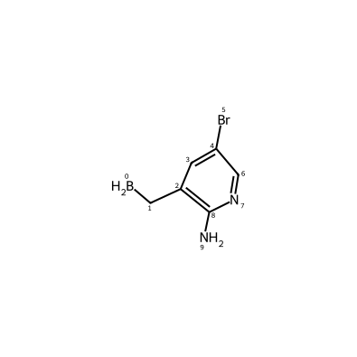 BCc1cc(Br)cnc1N